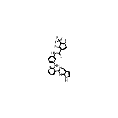 O=C(Nc1cccc(Nc2ncccc2-c2ncc3cc[nH]c3n2)c1)c1ccc(F)c(C(F)(F)F)c1F